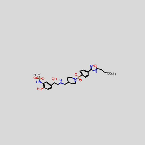 CS(=O)(=O)Nc1cc([C@H](O)CNCC2CCN(S(=O)(=O)c3ccc(-c4noc(CCC(=O)O)n4)cc3)CC2)ccc1O